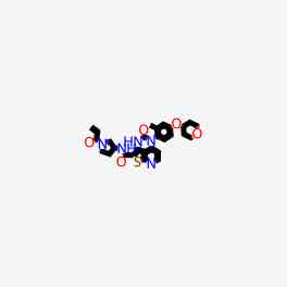 C=CC(=O)N1CCC(NC(=O)c2sc3nccc4c3c2NC(=O)N4c2ccc(OC3CCOCC3)cc2C)C1